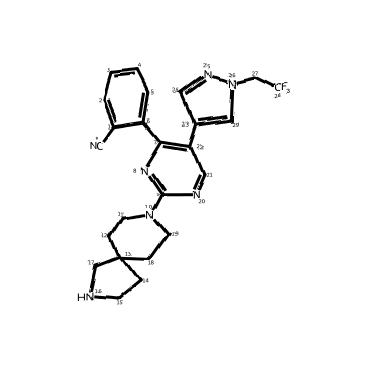 N#Cc1ccccc1-c1nc(N2CCC3(CCNC3)CC2)ncc1-c1cnn(CC(F)(F)F)c1